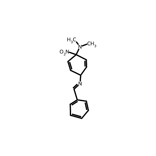 CN(C)C1([N+](=O)[O-])C=CC(/N=C/c2ccccc2)C=C1